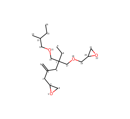 C=C(CC1CO1)CC(CC)(COCC(C)CC)COCC1CO1